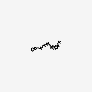 CN(CCC1(C)CC(C(C)(C)CCC(C)(C)CCC2CC3(CCCCC3)C2)C1)CC1=CC2(CCN1C)CC2CC(C)(C)C